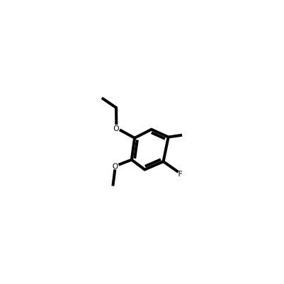 CCOc1cc(C)c(F)cc1OC